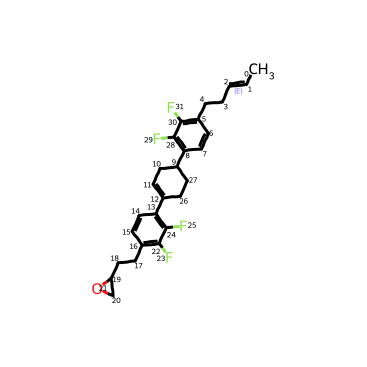 C/C=C/CCc1ccc(C2CC=C(c3ccc(CCC4CO4)c(F)c3F)CC2)c(F)c1F